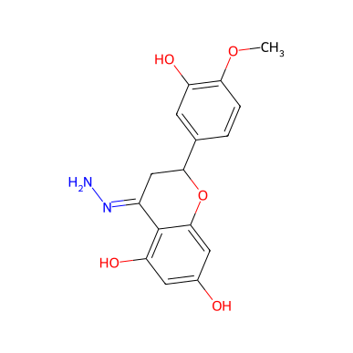 COc1ccc(C2CC(=NN)c3c(O)cc(O)cc3O2)cc1O